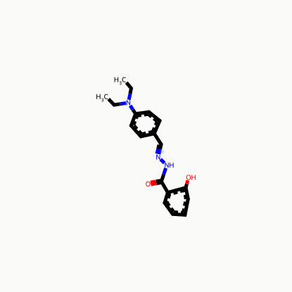 CCN(CC)c1ccc(/C=N/NC(=O)c2ccccc2O)cc1